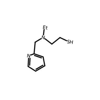 CCN(CCS)Cc1ccccn1